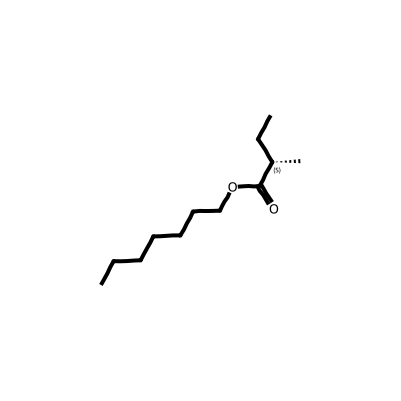 CCCCCCCOC(=O)[C@@H](C)CC